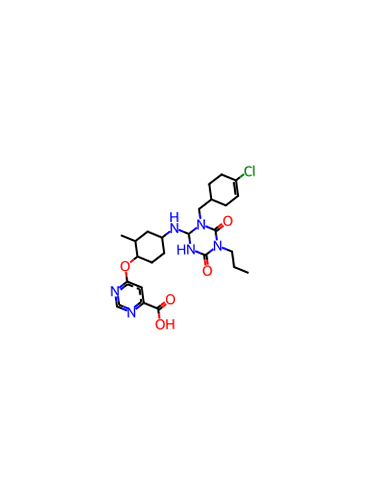 CCCN1C(=O)NC(NC2CCC(Oc3cc(C(=O)O)ncn3)C(C)C2)N(CC2CC=C(Cl)CC2)C1=O